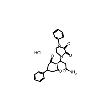 Cl.NC(=O)CC(N1CCN(c2ccccc2)C(=O)C1=O)N1C(=O)CC(c2ccccc2)CC1=O